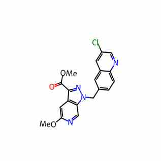 COC(=O)c1nn(Cc2ccc3ncc(Cl)cc3c2)c2cnc(OC)cc12